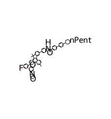 CCCCCC1CCC(c2ccc(-c3ccc(C(=O)Nc4ccc(-c5ccc6c(c5)-c5c(c7c(c8cc(C)ccc58)OC(c5ccc(F)cc5)(c5ccc(N8CCOCC8)cc5)C=C7)C6(C)C)cc4)cc3)cc2)CC1